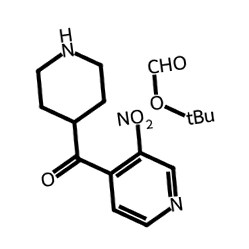 CC(C)(C)OC=O.O=C(c1ccncc1[N+](=O)[O-])C1CCNCC1